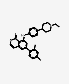 CCN1CCC(c2ccc(Nc3nc(-c4ccc(F)cc4C)cc4c3C(=O)[N]C=C4)cc2)CC1